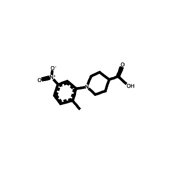 Cc1ccc([N+](=O)[O-])cc1N1CCC(C(=O)O)CC1